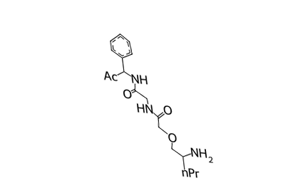 CCCC(N)COCC(=O)NCC(=O)NC(C(C)=O)c1ccccc1